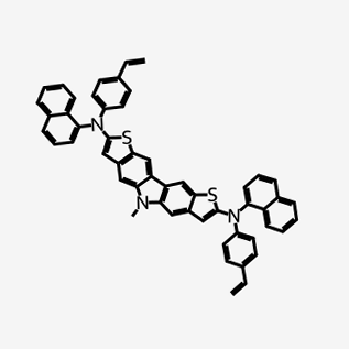 C=Cc1ccc(N(c2cc3cc4c(cc3s2)c2cc3sc(N(c5ccc(C=C)cc5)c5cccc6ccccc56)cc3cc2n4C)c2cccc3ccccc23)cc1